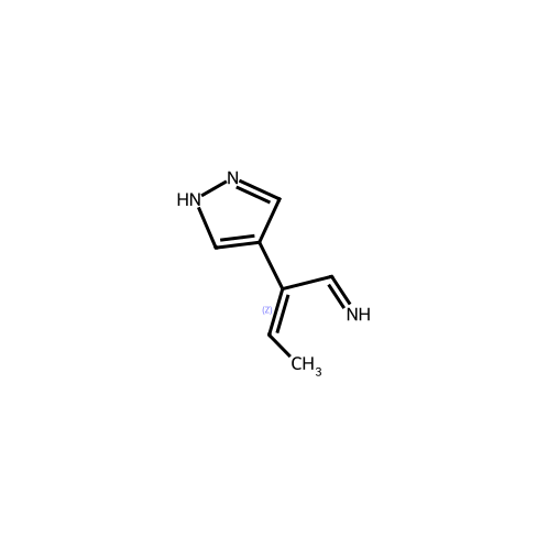 C/C=C(\C=N)c1cn[nH]c1